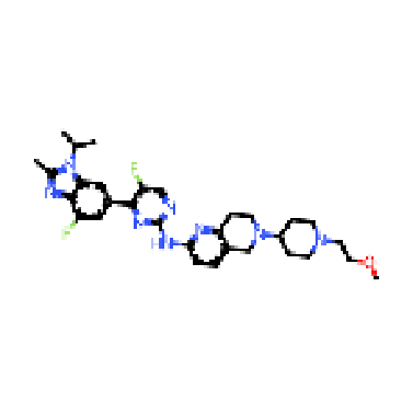 COCCN1CCC(N2CCc3nc(Nc4ncc(F)c(-c5cc(F)c6nc(C)n(C(C)C)c6c5)n4)ccc3C2)CC1